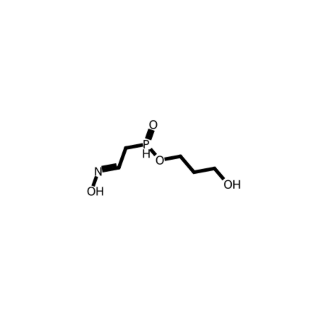 O=[PH](CC=NO)OCCCO